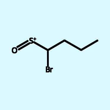 CCCC(Br)[S+]=O